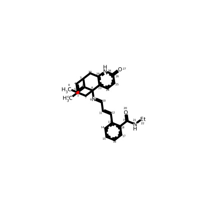 C/C=C1\C2C=C(C)CC1(/N=C/C=C/c1ccccc1C(=O)NCC)c1ccc(=O)[nH]c1C2